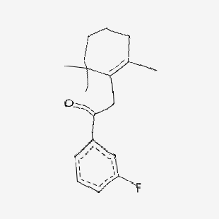 CC1=C(CC(=O)c2cccc(F)c2)C(C)(C)CCC1